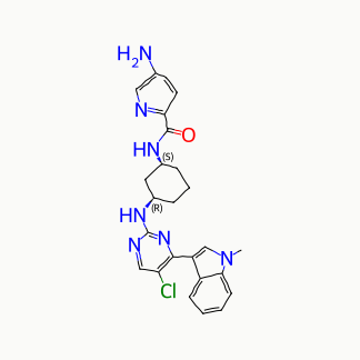 Cn1cc(-c2nc(N[C@@H]3CCC[C@H](NC(=O)c4ccc(N)cn4)C3)ncc2Cl)c2ccccc21